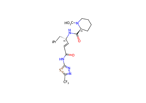 CC(C)C[C@@H](C=CC(=O)Nc1nnc(C(F)(F)F)s1)NC(=O)[C@@H]1CCCCN1C(=O)O